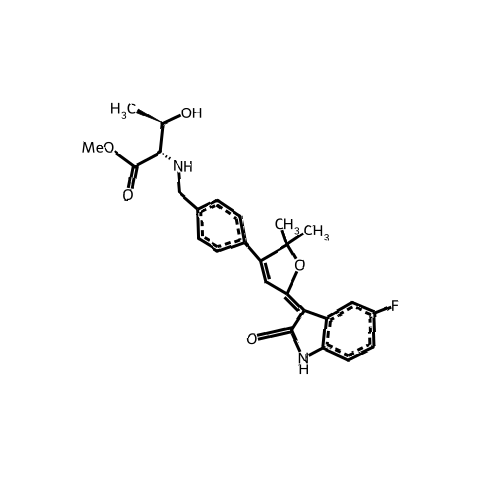 COC(=O)[C@@H](NCc1ccc(C2=C/C(=C3\C(=O)Nc4ccc(F)cc43)OC2(C)C)cc1)[C@@H](C)O